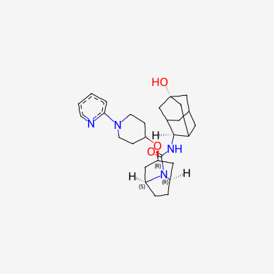 O=C(N[C@H]1C2CC3CC1C[C@](O)(C3)C2)N1[C@@H]2CC[C@H]1C[C@@H](OC1CCN(c3ccccn3)CC1)C2